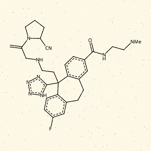 C=C(CNCCC1(c2nnn[nH]2)c2ccc(F)cc2CCc2cc(C(=O)NCCNC)ccc21)N1CCCC1C#N